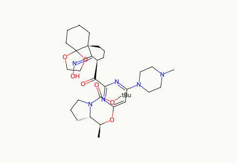 C[C@H](Oc1cc(N2CCN(C)CC2)nc(C(=O)[C@@H]2CCC[C@@]3(CCCCC34OCCO4)/C2=N/O)n1)[C@@H]1CCCN1C(=O)OC(C)(C)C